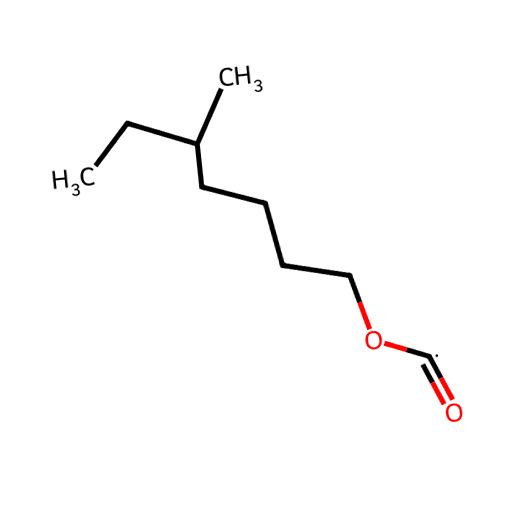 CCC(C)CCCCO[C]=O